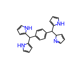 C1=CC(C(c2ccc(C(c3ccc[nH]3)c3ccc[nH]3)cc2)c2ccc[nH]2)N=C1